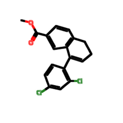 COC(=O)c1ccc2c(c1)C(c1ccc(Cl)cc1Cl)=CCC2